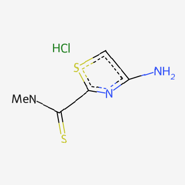 CNC(=S)c1nc(N)cs1.Cl